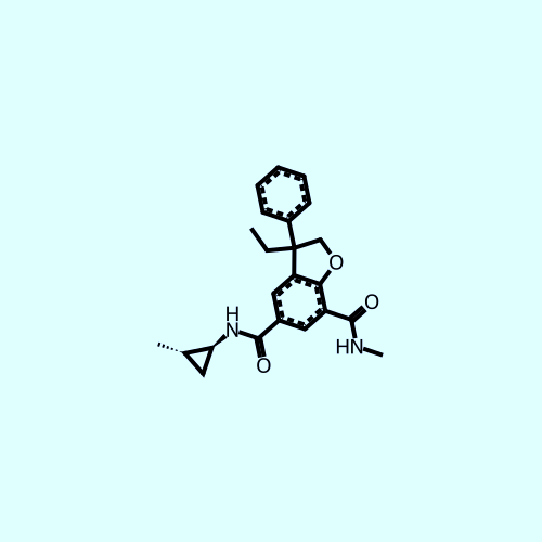 CCC1(c2ccccc2)COc2c(C(=O)NC)cc(C(=O)N[C@H]3C[C@@H]3C)cc21